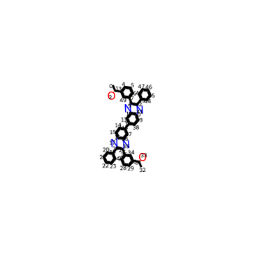 CC(=O)c1cccc(-c2nc3cc(-c4ccc5nc(-c6ccccc6)c(-c6cccc(C(C)=O)c6)nc5c4)ccc3nc2-c2ccccc2)c1